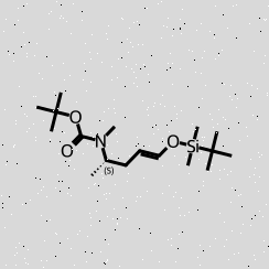 C[C@@H](CC=CO[Si](C)(C)C(C)(C)C)N(C)C(=O)OC(C)(C)C